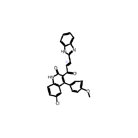 COc1ccc(-c2c(C(=O)/C=C/c3nc4ccccc4[nH]3)c(=O)[nH]c3ccc(Cl)cc23)cc1